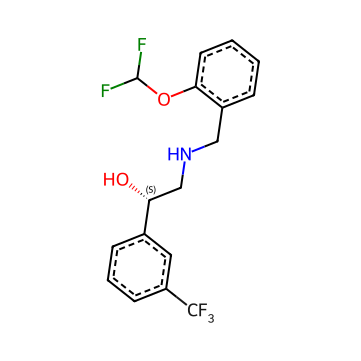 O[C@H](CNCc1ccccc1OC(F)F)c1cccc(C(F)(F)F)c1